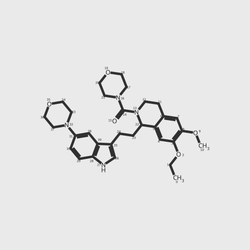 CCOc1cc2c(cc1OC)CCN(C(=O)N1CCOCC1)C2CCc1c[nH]c2ccc(N3CCOCC3)cc12